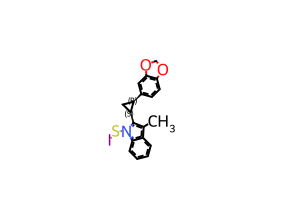 Cc1c([C@H]2C[C@H]2c2ccc3c(c2)OCO3)n(SI)c2ccccc12